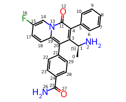 C[C@H](N)c1c(-c2ccccc2)c(=O)n2cc(F)ccc2c1-c1ccc(C(N)=O)cc1